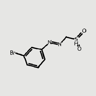 O=[SH](=O)CN=Nc1cccc(Br)c1